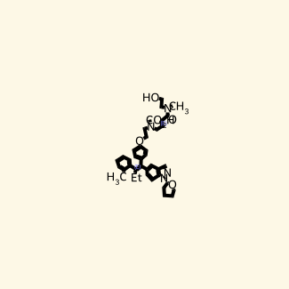 CC/C(=C(/c1ccc(OCCN(C/C=C/C(=O)N(C)CCO)C(=O)O)cc1)c1ccc2c(cnn2C2CCCCO2)c1)c1ccccc1C